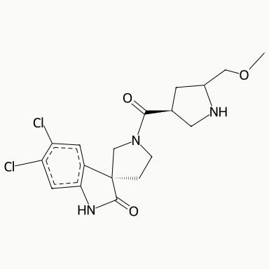 COCC1C[C@H](C(=O)N2CC[C@]3(C2)C(=O)Nc2cc(Cl)c(Cl)cc23)CN1